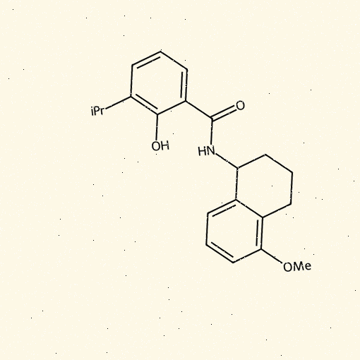 COc1cccc2c1CCCC2NC(=O)c1cccc(C(C)C)c1O